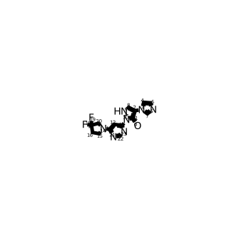 O=c1c(-n2ccnc2)c[nH]n1-c1cc(N2CCC(F)(F)C2)ncn1